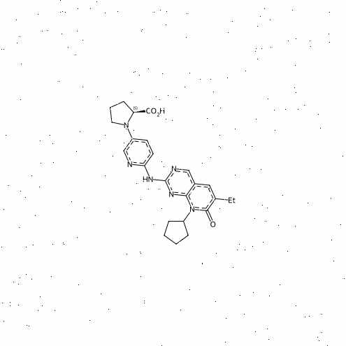 CCc1cc2cnc(Nc3ccc(N4CCC[C@H]4C(=O)O)cn3)nc2n(C2CCCC2)c1=O